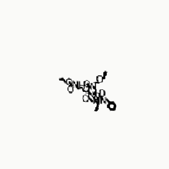 C#CCOCCN1C[C@H]2N(C(=O)CN(CC#C)N2C(=O)NCc2ccccc2)[C@@H](CCCNC(=O)OCC=C)C1=O